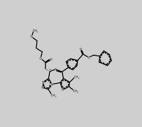 COCCCOC(=O)C[C@@H]1N=C(c2ccc(C(=O)OCc3ccccc3)cc2)c2c(sc(C)c2C)-n2c(C)nnc21